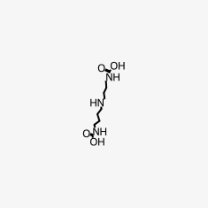 O=C(O)NCCCCNCCCCNC(=O)O